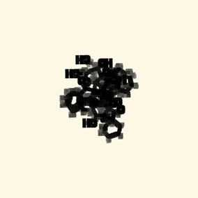 O=C(O[C@]1(C(=O)c2ccccc2)[C@@H](O)[C@H](O)[C@@H](CO)O[C@]1(OC(C(=O)c1ccccc1)(C(=O)c1ccccc1)[C@@]1(C(=O)c2ccccc2)O[C@@H](O)[C@H](O)[C@@H](O)[C@@]1(O)C(=O)c1ccccc1)C(=O)c1ccccc1)c1ccccc1